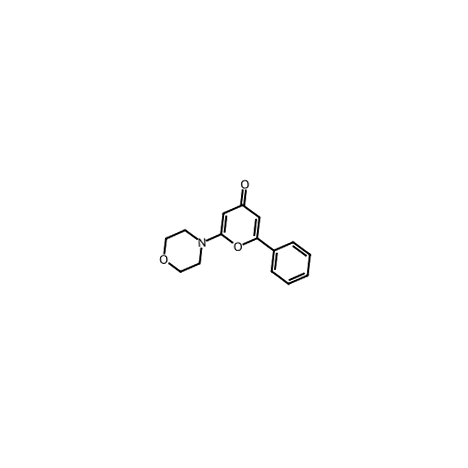 O=c1cc(-c2ccccc2)oc(N2CCOCC2)c1